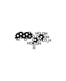 CC(=O)[C@@]1(C)CC[C@]2(C)CC[C@]3(C)C(=CC(=O)[C@@H]4[C@@]5(C)CC[C@H](OC6O[C@H](C(O)O)[C@@H](O)[C@H](O)[C@H]6O[C@@H]6O[C@H](C(=O)O)[C@@H](O)[C@H](O)[C@H]6O)C(C)(C)[C@@H]5CC[C@]43C)[C@@H]2C1